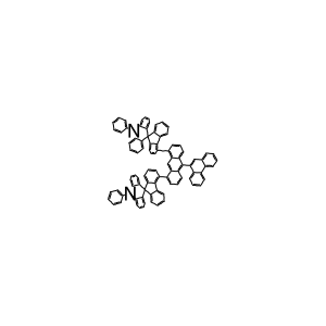 c1ccc(N2c3ccccc3C3(c4ccccc4-c4c(-c5cccc6c(-c7cc8ccccc8c8ccccc78)c7cccc(-c8cccc9c8-c8ccccc8C98c9ccccc9N(c9ccccc9)c9ccccc98)c7cc56)cccc43)c3ccccc32)cc1